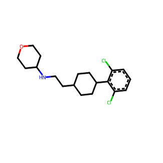 Clc1cccc(Cl)c1C1CCC(CCNC2CCOCC2)CC1